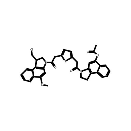 COc1cc2c(c3ccccc13)C(CCl)CN2C(=O)Cc1ccc(CC(=O)N2CCc3c2cc(OC(C)=O)c2ccccc32)s1